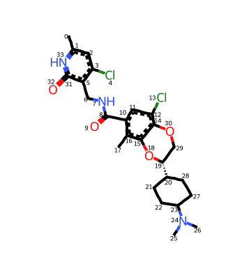 Cc1cc(Cl)c(CNC(=O)c2cc(Cl)c3c(c2C)O[C@@H](C2CCC(N(C)C)CC2)CO3)c(=O)[nH]1